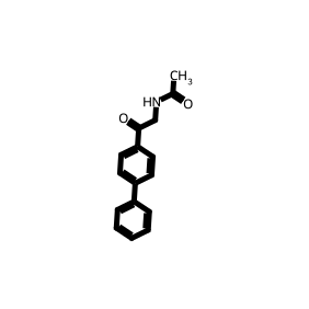 CC(=O)NCC(=O)c1ccc(-c2ccccc2)cc1